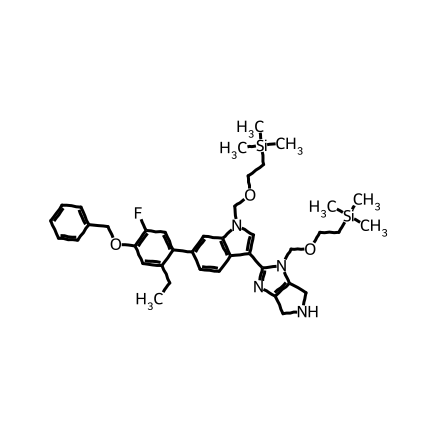 CCc1cc(OCc2ccccc2)c(F)cc1-c1ccc2c(-c3nc4c(n3COCC[Si](C)(C)C)CNC4)cn(COCC[Si](C)(C)C)c2c1